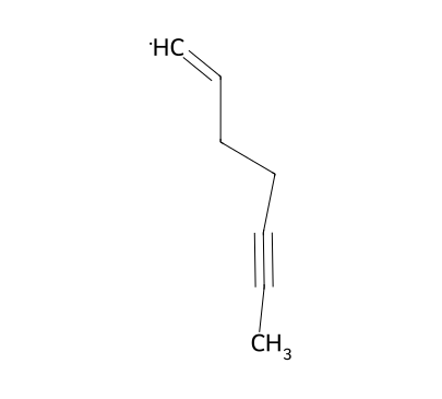 [CH]=CCCC#CC